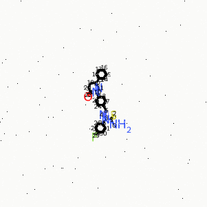 NC(=S)N(/N=C/c1ccc(N2N=C(c3ccccc3)CCC2=O)cc1)c1ccc(F)cc1